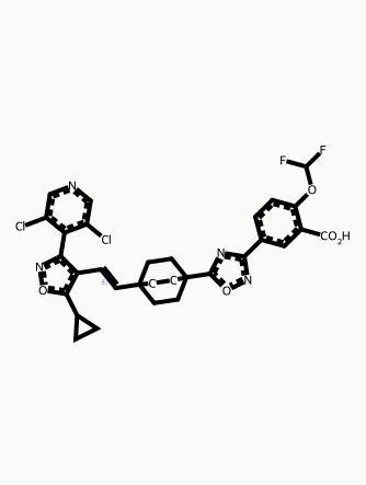 O=C(O)c1cc(-c2noc(C34CCC(/C=C/c5c(-c6c(Cl)cncc6Cl)noc5C5CC5)(CC3)CC4)n2)ccc1OC(F)F